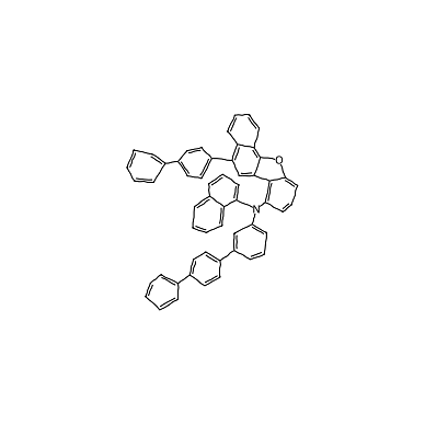 c1ccc(-c2ccc(-c3cccc(N(c4cccc5ccccc45)c4cccc5oc6c7ccccc7c(-c7ccc(-c8ccccc8)cc7)cc6c45)c3)cc2)cc1